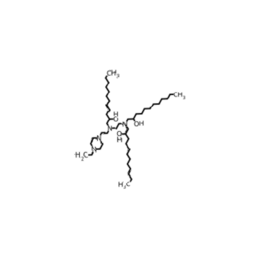 [CH2]CN1CCN(CCN(CCN(CC(O)CCCCCCCCCC)CC(O)CCCCCCCCCC)CC(O)CCCCCCCCCC)CC1